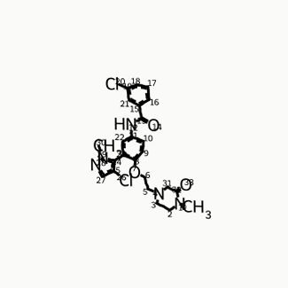 CN1CCN(CCOc2ccc(NC(=O)c3cccc(Cl)c3)cc2-c2c(Cl)cnn2C)CC1=O